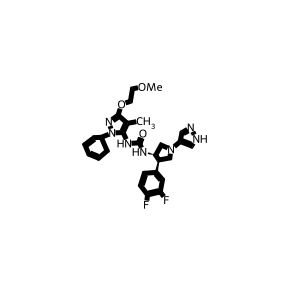 COCCOc1nn(C2C=CC=CC2)c(NC(=O)N[C@@H]2CN(c3cn[nH]c3)C[C@H]2c2ccc(F)c(F)c2)c1C